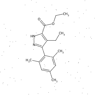 CCOC(=O)c1[nH]nc(-c2c(C)cc(C)cc2C)c1CC